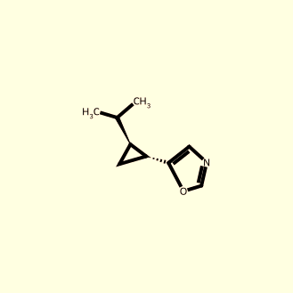 CC(C)[C@@H]1C[C@H]1c1cnco1